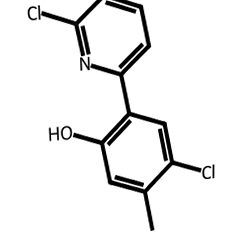 Cc1cc(O)c(-c2cccc(Cl)n2)cc1Cl